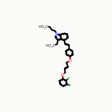 O=C(O)CCCn1cc(CC(=O)O)c2c(C=Cc3ccc(OCC=CCOc4cccc(F)c4F)cc3)cccc21